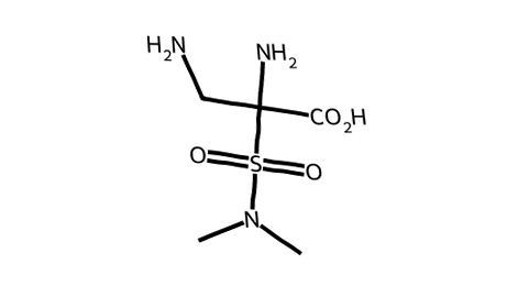 CN(C)S(=O)(=O)C(N)(CN)C(=O)O